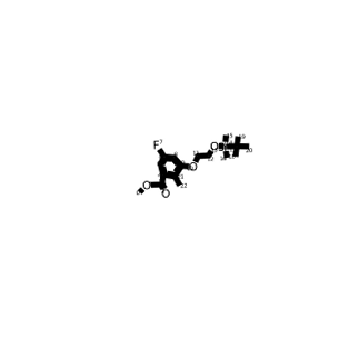 COC(=O)c1cc(F)cc(OCCO[Si](C)(C)C(C)(C)C)c1C